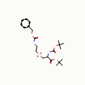 CC(C)(C)OC(=O)NC(CS(=O)(=O)CCNC(=O)OCc1ccccc1)C(=O)OC(C)(C)C